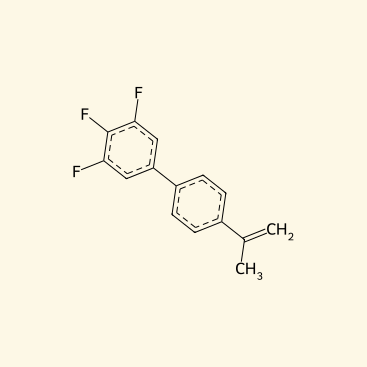 C=C(C)c1ccc(-c2cc(F)c(F)c(F)c2)cc1